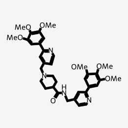 COc1cc(-c2cc(CNC(=O)C3CCN(Cc4ccnc(-c5cc(OC)c(OC)c(OC)c5)c4)CC3)ccn2)cc(OC)c1OC